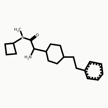 CN(C(=O)C(N)C1CCC(CCc2ccccc2)CC1)C1CCC1